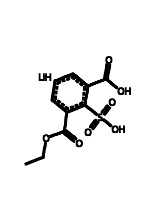 CCOC(=O)c1cccc(C(=O)O)c1S(=O)(=O)O.[LiH]